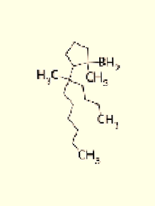 BC1(C)CCCC1C(C)(CCCC)CCCCCC